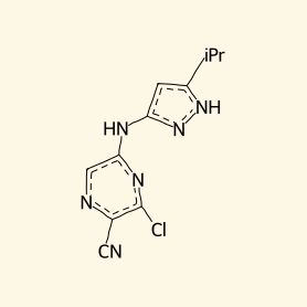 CC(C)c1cc(Nc2cnc(C#N)c(Cl)n2)n[nH]1